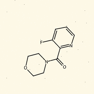 O=C(c1nc[c]cc1F)N1CCOCC1